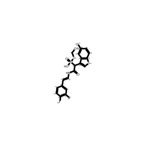 CC(=O)OCOP(=O)(O)C(C(=O)N/C=C/c1ccc(F)c(F)c1)c1csc2ccc(Cl)cc12